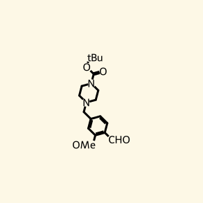 COc1cc(CN2CCN(C(=O)OC(C)(C)C)CC2)ccc1C=O